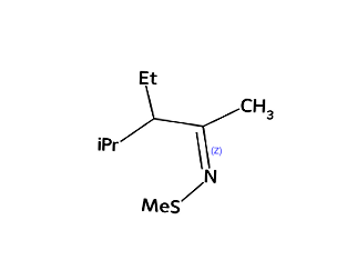 CCC(/C(C)=N\SC)C(C)C